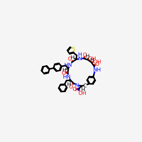 O=C1N[C@@H](Cc2ccccc2)C(=O)N[C@@H](C(=O)O)Cc2ccc(cc2)NC(=O)[C@H](O)[C@@H](O)C(=O)N[C@@H](Cc2cccs2)C(=O)N[C@H]1Cc1ccc(-c2ccccc2)cc1